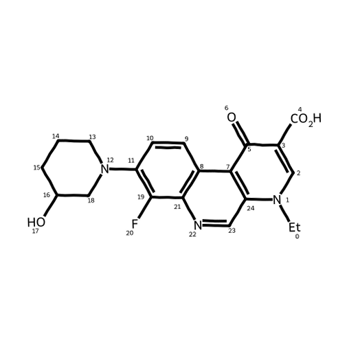 CCn1cc(C(=O)O)c(=O)c2c3ccc(N4CCCC(O)C4)c(F)c3ncc21